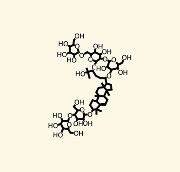 CC(C)(O)C1CCC(C2CCC3(C)C4CC=C5C(CCC(OC6OC(CO)C(OC7OC(CO)C(O)C(O)C7O)C(O)C6O)C5(C)C)C4(C)CCC23C)OC2C(O)C(CO)OC(OC3C(C1)OC(COC1OC(CO)C(O)C(O)C1O)C(O)C3O)C2O